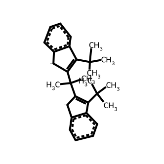 CC(C)(C)C1=C(C(C)(C)C2=C(C(C)(C)C)c3ccccc3[CH]2)[CH]c2ccccc21